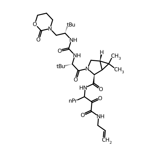 C=CCNC(=O)C(=O)C(CCC)NC(=O)[C@@H]1C2[C@H](CN1C(=O)[C@@H](NC(=O)N[C@H](CN1CCCOC1=O)C(C)(C)C)C(C)(C)C)C2(C)C